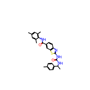 Cc1ccc(C(C)NC(=O)Nc2nc3ccc(C(=O)Nc4c(C)cc(C)cc4C)cc3s2)cc1